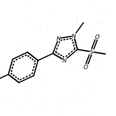 Cn1nc(-c2ccc(F)cc2)nc1S(C)(=O)=O